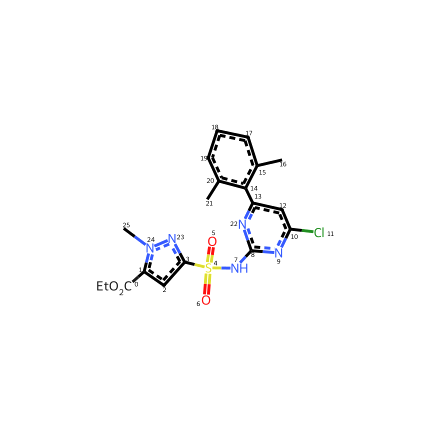 CCOC(=O)c1cc(S(=O)(=O)Nc2nc(Cl)cc(-c3c(C)cccc3C)n2)nn1C